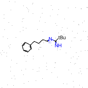 CC(C)(C)C(=N)/N=C/CCCc1ccccc1